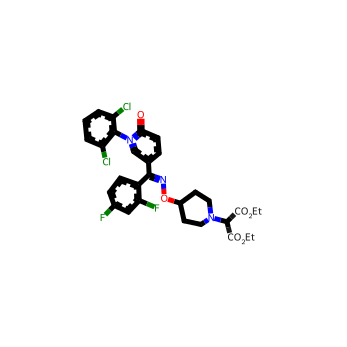 CCOC(=O)C(C(=O)OCC)N1CCC(ON=C(c2ccc(=O)n(-c3c(Cl)cccc3Cl)c2)c2ccc(F)cc2F)CC1